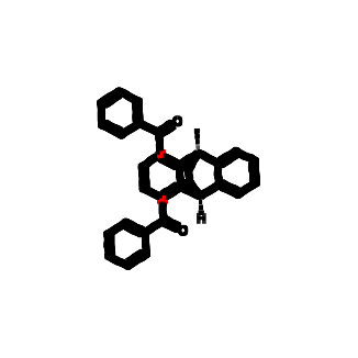 C[C@]12c3ccccc3[C@H](c3ccccc31)C(OC(=O)c1ccccc1)C2OC(=O)c1ccccc1